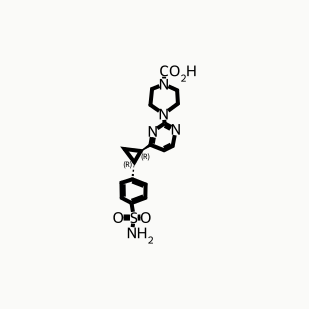 NS(=O)(=O)c1ccc([C@@H]2C[C@H]2c2ccnc(N3CCN(C(=O)O)CC3)n2)cc1